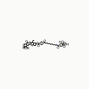 CCc1c2c(nc3ccc(OC(=O)N4CCN(C(=O)CCCCCCCC/C=C/C(=O)N5CCC(C(=O)O)(C(=O)O)CC5)CC4)cc13)-c1cc3c(c(=O)n1C2)COC(=O)[C@]3(O)CC